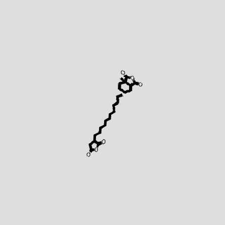 CC12CCCCC1C(=O)OC2=O.CCCCCCCCCCCCC1CC(=O)OC1=O